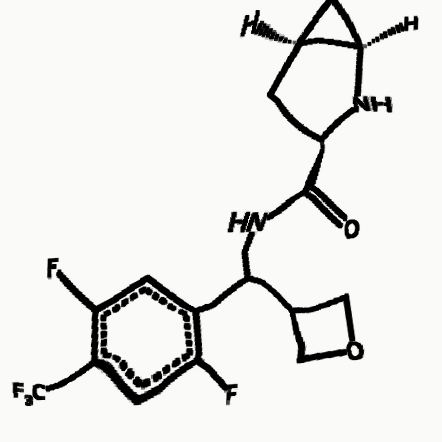 O=C(NC(c1cc(F)c(C(F)(F)F)cc1F)C1COC1)[C@H]1C[C@H]2C[C@H]2N1